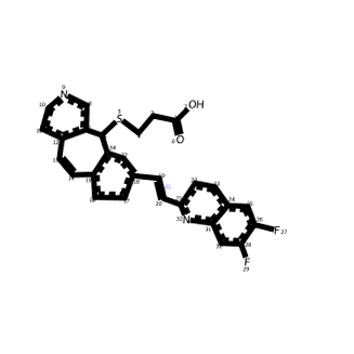 O=C(O)CCSC1c2cnccc2C=Cc2ccc(/C=C/c3ccc4cc(F)c(F)cc4n3)cc21